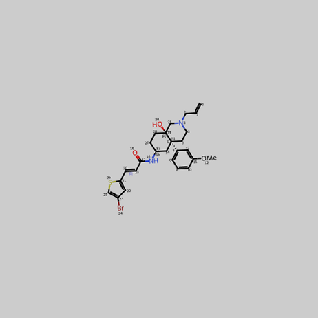 C=CCN1CC[C@@]2(c3cccc(OC)c3)C[C@@H](NC(=O)/C=C/c3cc(Br)cs3)CC[C@]2(O)C1